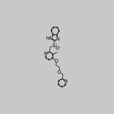 Cc1c(OCCOCc2ccccn2)ccnc1C[S+]([O-])c1nc2ccccc2[nH]1